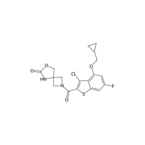 O=C1NC2(CO1)CN(C(=O)c1sc3cc(F)cc(OCC4CC4)c3c1Cl)C2